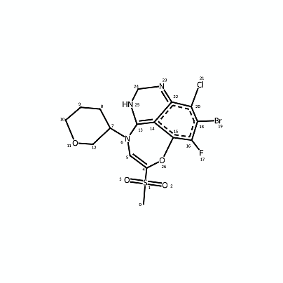 CS(=O)(=O)C1=CN(C2CCCOC2)C2=c3c(c(F)c(Br)c(Cl)c3=NCN2)O1